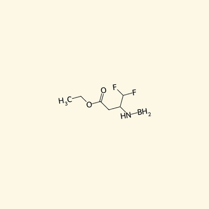 BNC(CC(=O)OCC)C(F)F